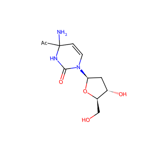 CC(=O)C1(N)C=CN([C@H]2C[C@H](O)[C@@H](CO)O2)C(=O)N1